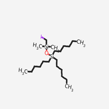 CCCCCC[Si](CCCCCC)(CCCCCC)O[Si](C)(C)CI